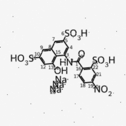 O=C(Nc1cc(S(=O)(=O)O)cc2cc(S(=O)(=O)O)cc(O)c12)c1ccc([N+](=O)[O-])cc1S(=O)(=O)O.[Na].[Na].[Na]